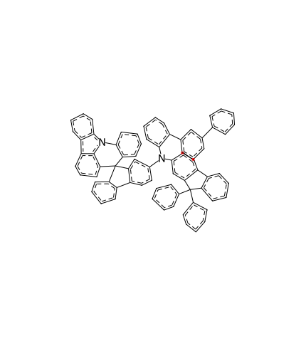 c1ccc(-c2cccc(-c3ccccc3N(c3ccc4c(c3)C(c3ccccc3)(c3ccccc3)c3ccccc3-4)c3ccc4c(c3)C3(c5ccccc5-4)c4ccccc4-n4c5ccccc5c5cccc3c54)c2)cc1